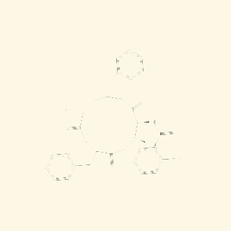 C[C@H]1CC(=O)C(Cc2ccccc2)N(C)C(=O)[C@H](C)[C@H](O)[C@H](Cc2ccccc2)NC(=O)[C@H]1NC(=O)c1ccccc1O